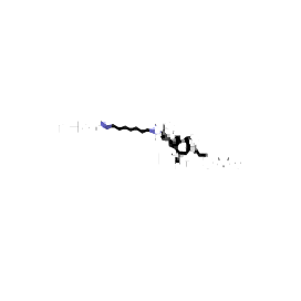 CCCCCC/C=C/CCCCCCC/C=N/S(=O)(=O)c1cc2c(s1)S(=O)(=O)N(CCCOC)C[C@@H]2NCC